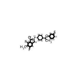 Cc1c(F)cc2c(c1F)C(=O)N(C[C@H]1CC[C@H](C(C)Oc3cccc(F)c3)CC1)C2